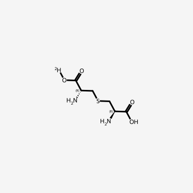 [2H]OC(=O)[C@@H](N)CSC[C@H](N)C(=O)O